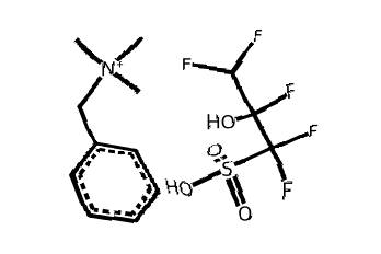 C[N+](C)(C)Cc1ccccc1.O=S(=O)(O)C(F)(F)C(O)(F)C(F)F